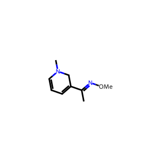 CON=C(C)C1=CC=CN(C)C1